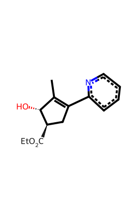 CCOC(=O)[C@@H]1CC(c2ccccn2)=C(C)[C@H]1O